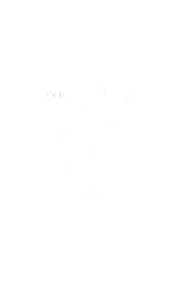 O=CC(Cl)(Cl)C(CCl)c1ccccc1